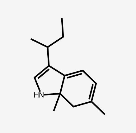 CCC(C)C1=CNC2(C)CC(C)=CC=C12